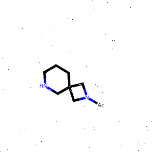 CC(=O)N1CC2(CCCNC2)C1